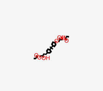 C=CC(=O)OCC(O)CCc1ccc(C(C)(C)c2ccc(OCC(O)COC(=O)C=C)cc2)cc1